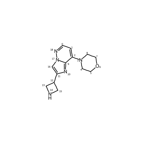 c1cc(N2CCOCC2)c2nc(C3CNC3)cn2n1